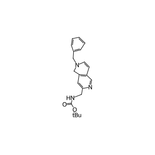 CC(C)(C)OC(=O)NCc1cc2c(cn1)C=CN(Cc1ccccc1)C2